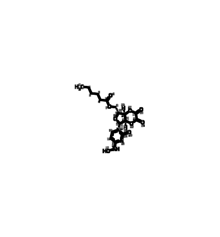 CCCCCC(=O)OC[C@H]1O[C@@H](n2ccc(NO)nc2=O)[C@@H]2OC(=O)C(=O)O[C@@H]21